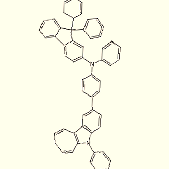 C1=C=CC(C2(C3C=CC=CC3)c3ccccc3-c3ccc(N(c4ccccc4)c4ccc(-c5ccc6c(c5)c5c(n6-c6ccccc6)C=CCC=C5)cc4)cc32)=CC=1